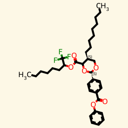 CCCCCCCCC[C@H]1CO[C@H](c2ccc(C(=O)Oc3ccccc3)cc2)OC1C(=O)OC(CCCCCC)C(F)(F)F